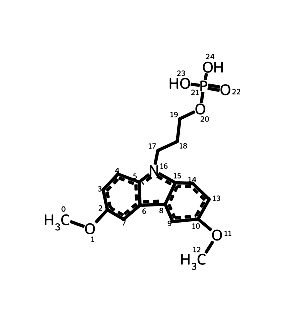 COc1ccc2c(c1)c1cc(OC)ccc1n2CCCOP(=O)(O)O